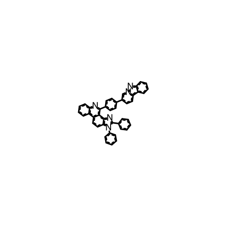 c1ccc(-c2nc3c4c(-c5ccc(-c6ccc7c8ccccc8nn7c6)cc5)nc5ccccc5c4ccc3n2-c2ccccc2)cc1